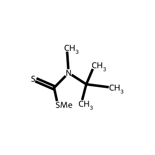 CSC(=S)N(C)C(C)(C)C